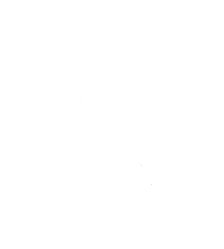 COC(=O)Nc1cc(C(C)(C)C)cc(NC(=O)Nc2ccc(Oc3ccnc(C(=O)N(C)C)c3)c3ccccc23)c1OC